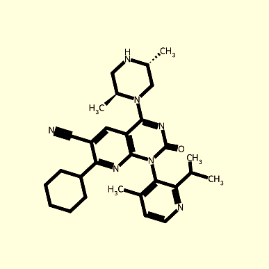 Cc1ccnc(C(C)C)c1-n1c(=O)nc(N2C[C@@H](C)NC[C@@H]2C)c2cc(C#N)c(C3CCCCC3)nc21